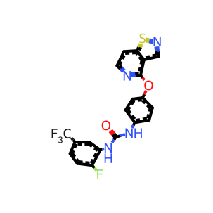 O=C(Nc1ccc(Oc2nccc3sncc23)cc1)Nc1cc(C(F)(F)F)ccc1F